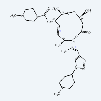 C/C(=C\c1cnn(C2CCN(C)CC2)c1)[C@H]1OC(=O)C[C@H](O)CC[C@H](C)[C@@H](OC(=O)N2CCN(C)CC2)/C=C/[C@@H]1C